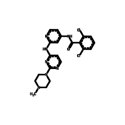 CN1CCN(c2nccc(Nc3cc(NC(=O)c4c(Cl)cccc4Cl)ccn3)n2)CC1